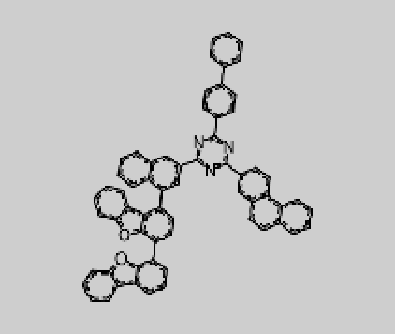 c1ccc(-c2ccc(-c3nc(-c4cc(-c5ccc(-c6cccc7c6oc6ccccc67)c6oc7ccccc7c56)c5ccccc5c4)nc(-c4ccc5c(ccc6ccccc65)c4)n3)cc2)cc1